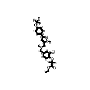 CCOC(=O)C(C)(C)Oc1ccc(CN(C)Cc2cc(-c3ccc(OC(F)(F)F)cc3)nn2C)cc1Cl